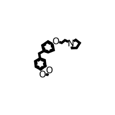 c1cc(OCCN2CCCC2)ccc1Cc1ccc2c(c1)OCO2